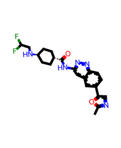 Cc1ncc(-c2ccc3nnc(NC(=O)[C@H]4CC[C@H](NCC(F)F)CC4)cc3c2)o1